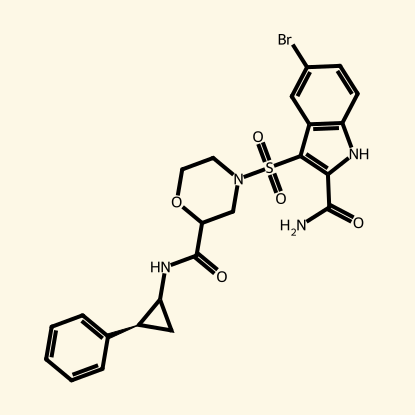 NC(=O)c1[nH]c2ccc(Br)cc2c1S(=O)(=O)N1CCOC(C(=O)NC2C[C@H]2c2ccccc2)C1